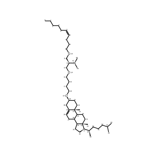 CCCCC/C=C\CCCOC[C@H](COCCCCO[C@H]1CC[C@@]2(C)C(=CCC3C2CC[C@@]2(C)C3CC[C@@H]2[C@H](C)CCCC(C)C)C1)N(C)C